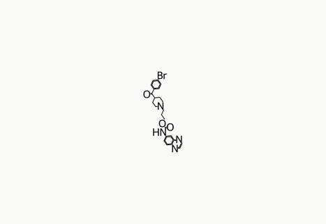 O=C(Nc1ccc2nccnc2c1)OCCCN1CCC(C(=O)c2ccc(Br)cc2)CC1